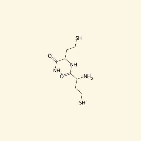 NC(=O)C(CCS)NC(=O)C(N)CCS